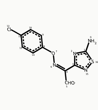 Nc1nc(/C([C]=O)=N\Oc2ccc(Cl)cc2)ns1